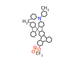 Cc1cccc(N(c2cccc(C)c2)c2ccc3c(c2)C2(c4ccccc4-c4ccccc42)c2cc4c5ccc(OS(=O)(=O)C(F)(F)F)cc5c5ccccc5c4cc2-3)c1